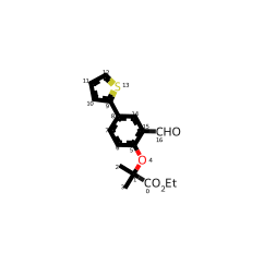 CCOC(=O)C(C)(C)Oc1ccc(-c2cccs2)cc1C=O